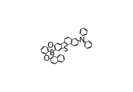 c1ccc(N(c2ccccc2)c2ccc3c(ccc4c5cc6c(cc5sc34)B3c4c(cccc4Oc4ccc5ccccc5c43)O6)c2)cc1